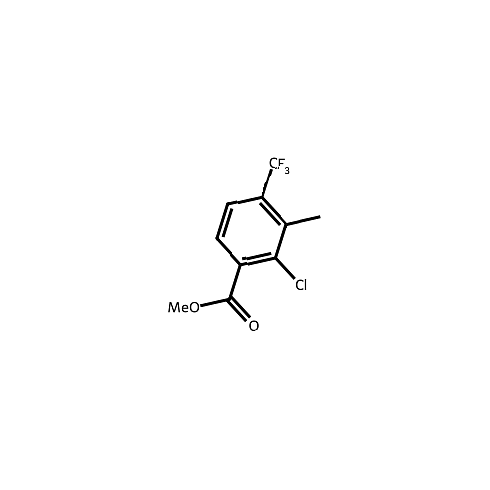 COC(=O)c1ccc(C(F)(F)F)c(C)c1Cl